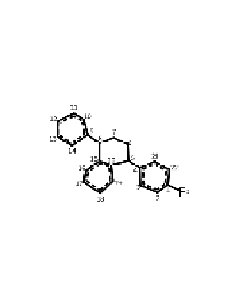 Fc1ccc(C2CCC(c3ccccc3)c3ccccc32)cc1